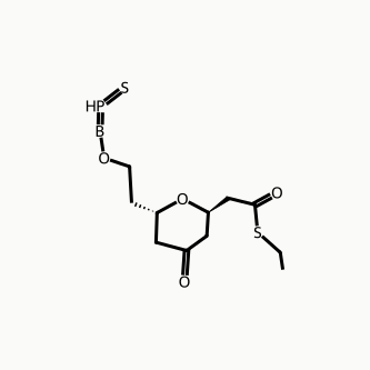 CCSC(=O)C[C@H]1CC(=O)C[C@H](CCOB=[PH]=S)O1